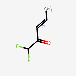 C/C=C/C(=O)C(F)F